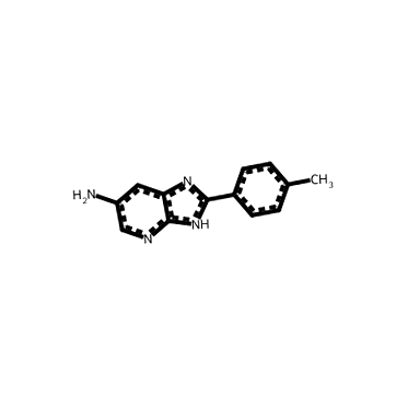 Cc1ccc(-c2nc3cc(N)cnc3[nH]2)cc1